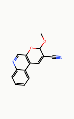 COC1Oc2cnc3ccccc3c2C=C1C#N